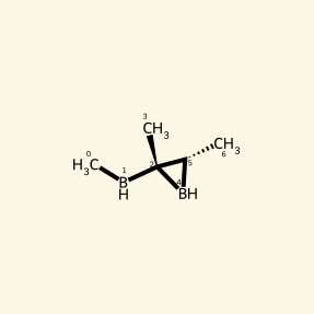 CB[C@@]1(C)B[C@H]1C